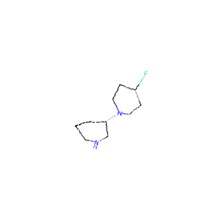 FC1CCN([C@H]2CCCNC2)CC1